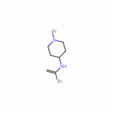 C=C(NC1CCN(C(C)C)CC1)C(C)C